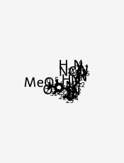 COC(=O)c1c(C)cc(-c2nc([C@H](C)Nc3ncnc(N)c3C#N)nn3ccc(C)c23)cc1C